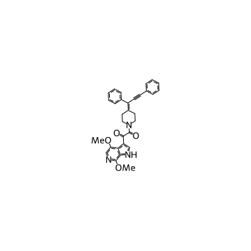 COc1ncc(OC)c2c(C(=O)C(=O)N3CCC(=C(C#Cc4ccccc4)c4ccccc4)CC3)c[nH]c12